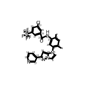 Cc1cc(C)c(-n2ccn3nc(-c4cccnc4)cc23)cc1NC(=O)c1cc(Cl)cc(S(F)(F)(F)(F)F)c1